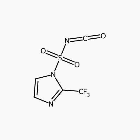 O=C=NS(=O)(=O)n1ccnc1C(F)(F)F